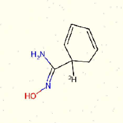 [2H]C1(C(N)=NO)C=CC=CC1